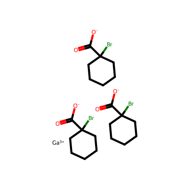 O=C([O-])C1(Br)CCCCC1.O=C([O-])C1(Br)CCCCC1.O=C([O-])C1(Br)CCCCC1.[Ga+3]